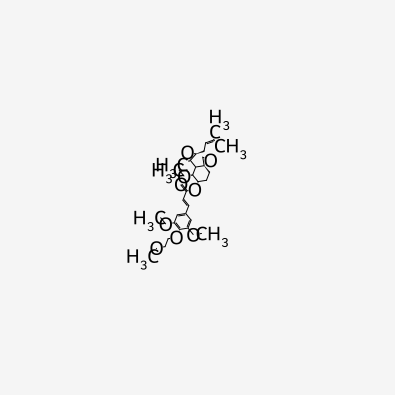 COCCOc1c(OC)cc(/C=C/C(=O)O[C@@H]2CC[C@]3(CO3)C([C@]3(C)O[C@H]3CC=C(C)C)[C@@H]2OC)cc1OC